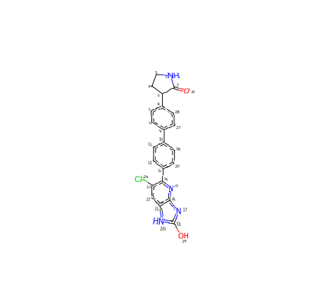 O=C1NCCC1c1ccc(-c2ccc(-c3nc4nc(O)[nH]c4cc3Cl)cc2)cc1